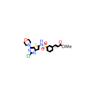 COC(=O)/C=C/c1cccc(S(=O)(=O)Nc2cc3nc(Cl)nc(N4CCOCC4)c3s2)c1